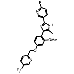 COc1cc(OCc2ccc(C(F)(F)F)cn2)ccc1-c1nc(-c2ccc(F)nc2)[nH]c1C